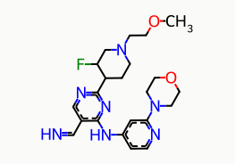 COCCN1CCC(c2ncc(C=N)c(Nc3ccnc(N4CCOCC4)c3)n2)C(F)C1